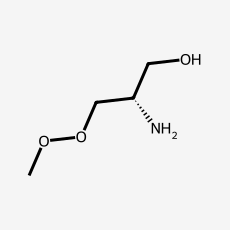 COOC[C@@H](N)CO